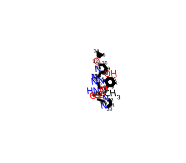 COc1cccc(O)c1-n1c(C(=O)NS(=O)(=O)Cc2ncccn2)nnc1C1=C=C=CC(OC2CC2)=N1